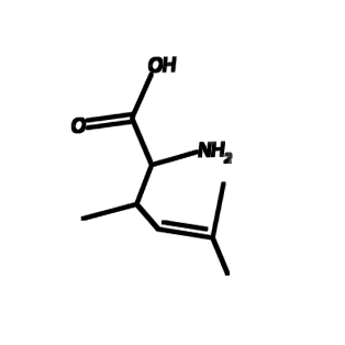 CC(C)=CC(C)C(N)C(=O)O